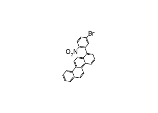 O=[N+]([O-])c1ccc(Br)cc1-c1cccc2c1ccc1c3ccccc3ccc21